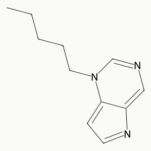 CCCCCn1cncc2nccc1-2